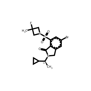 C[C@@H](C1CC1)N1Cc2cc(Br)cc(S(=O)(=O)N3CC(C)(F)C3)c2C1=O